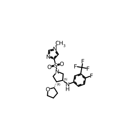 Cn1cnc(S(=O)(=O)N2C[C@@H](Nc3ccc(F)c(C(F)(F)F)c3)[C@H](C3CCCO3)C2)c1